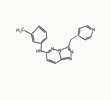 Cc1cccc(Nc2ccc3nnc(Cc4ccncc4)n3n2)c1